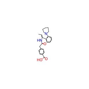 CC=C(NC(=O)Cc1ccc(C(=O)O)cc1)c1ccccc1N1CCCCC1